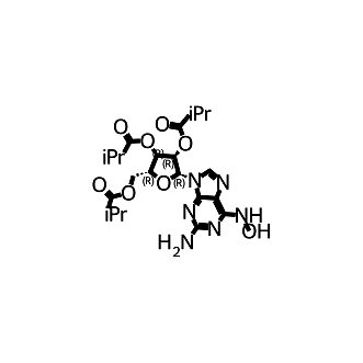 CC(C)C(=O)OC[C@H]1O[C@@H](n2cnc3c(NO)nc(N)nc32)[C@H](OC(=O)C(C)C)[C@@H]1OC(=O)C(C)C